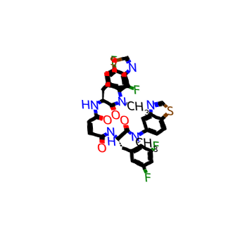 CN(C(=O)[C@H](Cc1cc(F)cc(F)c1)NC(=O)/C=C\C(=O)N[C@@H](Cc1cc(F)cc(F)c1)C(=O)N(C)c1ccc2scnc2c1)c1ccc2scnc2c1